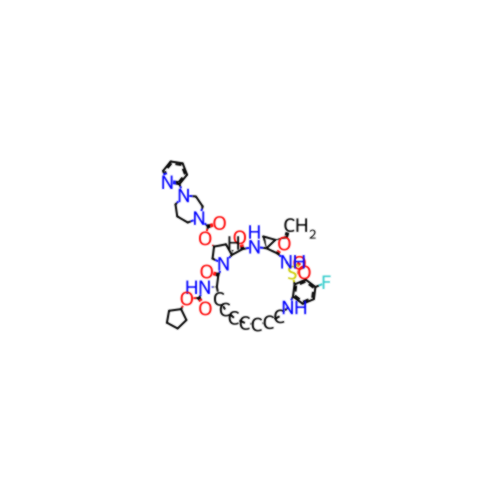 C=C[C@@H]1C[C@@]12NC(=O)[C@@H]1C[C@@H](OC(=O)N3CCCN(c4ccccn4)CC3)CN1C(=O)[C@@H](NC(=O)OC1CCCC1)CCCCCCCNc1ccc(F)cc1S(=O)(=O)NC2=O